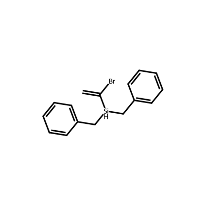 C=C(Br)[SiH](Cc1ccccc1)Cc1ccccc1